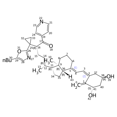 C=C1/C(=C\C=C2/CCC[C@]3(C)[C@@H]([C@H](C)CC[C@@H](C(=O)c4ccncc4)C4(c5ncc(CCCC)o5)CC4)CC[C@@H]23)C[C@@H](O)C[C@@H]1O